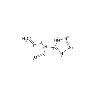 C=CCN(C=O)c1nnn[nH]1